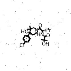 CC(C)[C@@H](NC(=O)C(C)(C)O)C(=O)N1CC[C@](O)(c2ccc(Cl)cc2)C(C)(C)C1